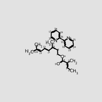 C/C=C(\C)C(=O)OCCC(C)CCC=C(C)C.c1ccc(-c2ccccn2)nc1